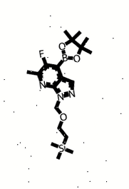 Cc1nc2c(cnn2COCC[Si](C)(C)C)c(B2OC(C)(C)C(C)(C)O2)c1F